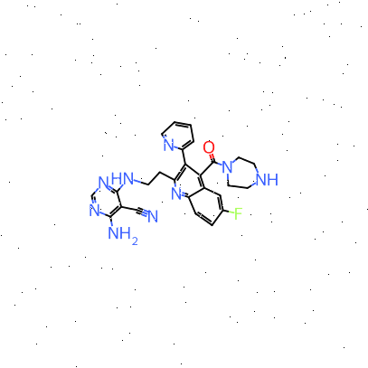 N#Cc1c(N)ncnc1NCCc1nc2ccc(F)cc2c(C(=O)N2CCNCC2)c1-c1ccccn1